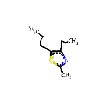 CCCc1sc(C)nc1CC